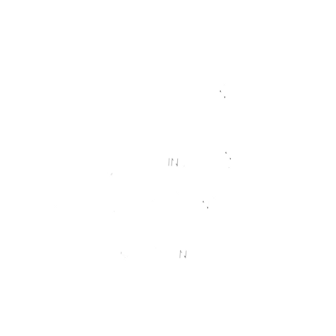 c1cnc(Nc2ncnc3[se]c4c(c23)CCCC4)cn1